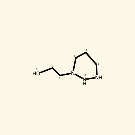 OCCN1CCCNN1